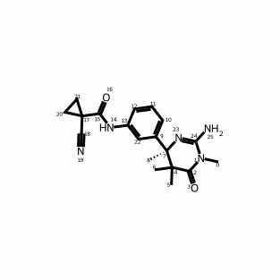 CN1C(=O)C(C)(C)[C@@](C)(c2cccc(NC(=O)C3(C#N)CC3)c2)N=C1N